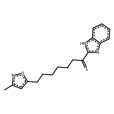 Cc1cc(CCCCCCC(=S)c2nc3ccccc3[nH]2)on1